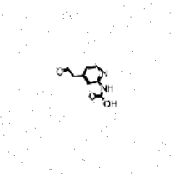 O=CCc1ccnc(NC(=O)O)c1